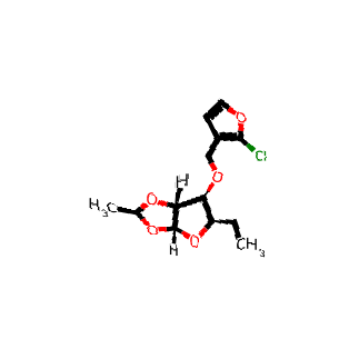 CC[C@H]1O[C@@H]2OC(C)O[C@@H]2[C@H]1OCc1ccoc1Cl